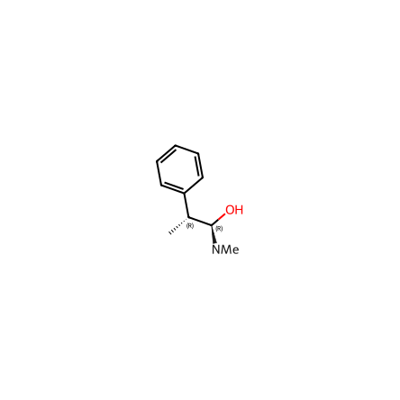 CN[C@H](O)[C@H](C)c1ccccc1